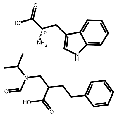 CC(C)N(C=O)CC(CCc1ccccc1)C(=O)O.N[C@@H](Cc1c[nH]c2ccccc12)C(=O)O